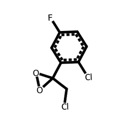 Fc1ccc(Cl)c(C2(CCl)OO2)c1